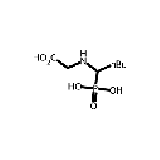 CCCCC(NCC(=O)O)P(=O)(O)O